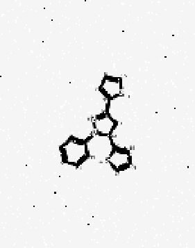 c1ccc(N2N=C(c3cccs3)CC2c2cccs2)cc1